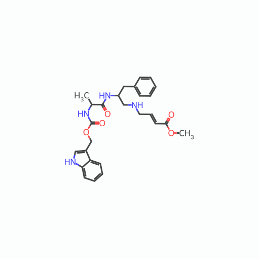 COC(=O)C=CCNCC(Cc1ccccc1)NC(=O)C(C)NC(=O)OCc1c[nH]c2ccccc12